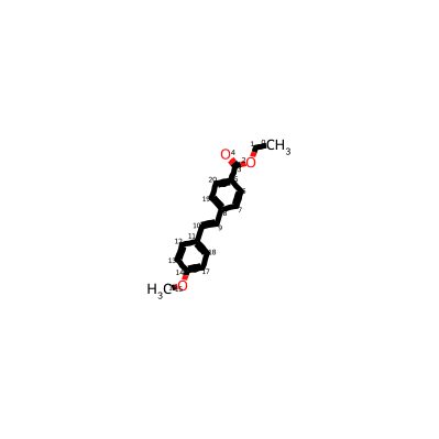 CCOC(=O)c1ccc(/C=C/c2ccc(OC)cc2)cc1